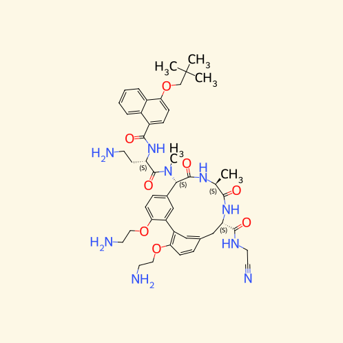 C[C@@H]1NC(=O)[C@@H](N(C)C(=O)[C@H](CCN)NC(=O)c2ccc(OCC(C)(C)C)c3ccccc23)c2ccc(OCCN)c(c2)-c2cc(ccc2OCCN)C[C@@H](C(=O)NCC#N)NC1=O